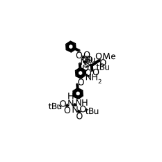 COC(=O)C(C(C(=O)ON)S(=O)(=O)N(Cc1ccc(OCc2ccc(NC(=NC(=O)OC(C)(C)C)NC(=O)OC(C)(C)C)cc2)cc1)C(=O)OCc1ccccc1)(C(C)(C)C)C(C)(C)C